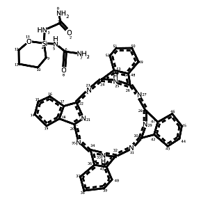 NC(=O)N[Si]1(NC(N)=O)CCCCO1.c1ccc2c(c1)-c1nc-2nc2[nH]c(nc3nc(nc4[nH]c(n1)c1ccccc41)-c1ccccc1-3)c1ccccc21